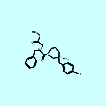 CC(C)(C)OC(=O)C[C@@H](Cc1ccccc1)C(=O)N1CCC[C@@](N)(Cc2ccc(Cl)cc2)C1